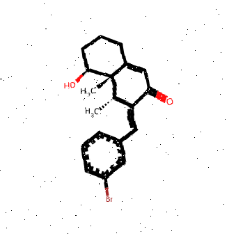 C[C@H]1/C(=C\c2cccc(Br)c2)C(=O)C=C2CCC[C@H](O)[C@]21C